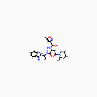 Cc1cc(C(=O)N[C@@H](CC(=O)N2CCCCC2C)C(=O)NC(C)c2nc3ccccc3[nH]2)no1